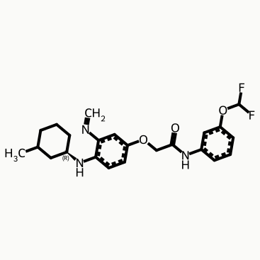 C=Nc1cc(OCC(=O)Nc2cccc(OC(F)F)c2)ccc1N[C@@H]1CCCC(C)C1